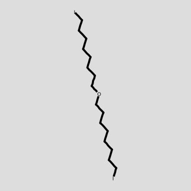 ICCCCCCCCOCCCCCCCCI